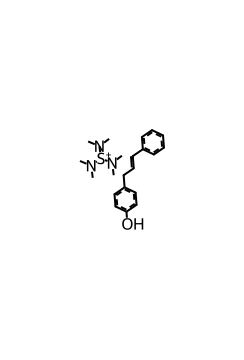 CN(C)[S+](N(C)C)N(C)C.Oc1ccc(CC=Cc2ccccc2)cc1